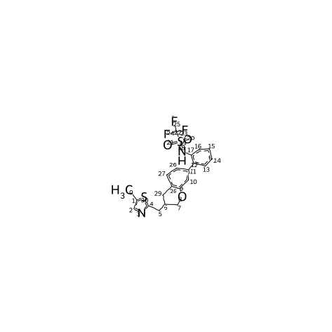 Cc1cnc(CC2COc3cc(-c4ccccc4NS(=O)(=O)C(F)(F)F)ccc3C2)s1